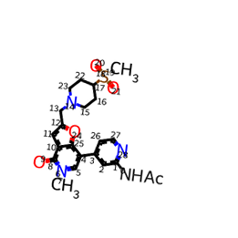 CC(=O)Nc1cc(-c2cn(C)c(=O)c3cc(CN4CCC(S(C)(=O)=O)CC4)oc23)ccn1